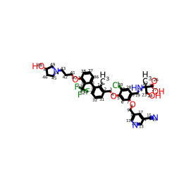 Cc1c(COc2cc(OCc3cncc(C#N)c3)c(CN[C@@](C)(CO)C(=O)O)cc2Cl)cccc1-c1cccc(OCCCN2CC[C@@H](O)C2)c1C(F)(F)F